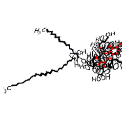 CCCCCCCCCCCCC/C=C/[C@@H](O)[C@H](CO[C@@H]1OC(CO)[C@@H](O[C@@H]2OC(CO)[C@H](O)[C@H](O[C@@H]3OC(CO)[C@@H](O[C@@H]4OC(CO)[C@H](O)[C@H](O[C@H]5OC(CO)[C@H](O)[C@H](O)C5O)C4O[C@H]4OC(C)[C@@H](O)C(O)[C@@H]4O)[C@H](O[C@H]4OC(C)[C@@H](O)C(O)[C@@H]4O)C3NC(C)=O)C2O)[C@H](O)C1O)NC(=O)CCCCCCCCCCCCCCCCCCCCCCC